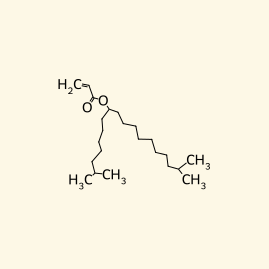 C=CC(=O)OC(CCCCCCCCC(C)C)CCCCCC(C)C